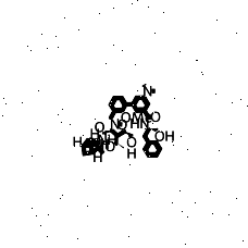 COc1c(CN2O[C@@H](CO)[C@@H]([C@H](C)O)[C@H]2C(=O)N[C@H]2C[C@H]3C[C@@H]([C@@H]2C)C3(C)C)cccc1-c1cc(C(=O)N[C@@H](CO)Cc2ccccc2)cc(N(C)C)c1